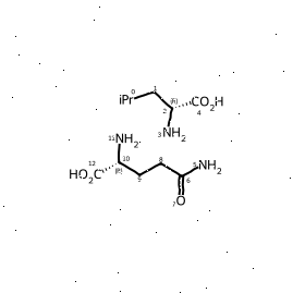 CC(C)C[C@@H](N)C(=O)O.NC(=O)CC[C@@H](N)C(=O)O